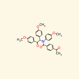 COc1ccc(C(=O)C(c2ccc(OC)cc2)N(C(=O)c2ccc(C(C)=O)cc2)c2ccc(OC)cc2)cc1